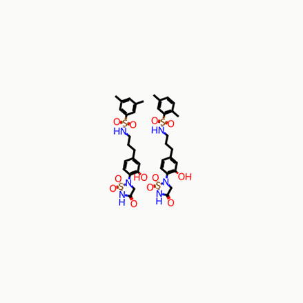 Cc1cc(C)cc(S(=O)(=O)NCCCc2ccc(N3CC(=O)NS3(=O)=O)c(O)c2)c1.Cc1ccc(C)c(S(=O)(=O)NCCCc2ccc(N3CC(=O)NS3(=O)=O)c(O)c2)c1